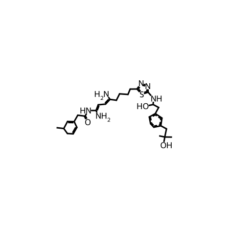 CC1C=C(CC(=O)N/C(N)=C/C=C(\N)CCCCc2nnc(NC(O)Cc3cccc(CC(C)(C)O)c3)s2)C=CC1